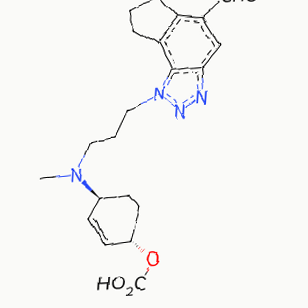 CN(CCCn1nnc2cc(C=O)c3c(c21)CCC3)[C@@H]1C=C[C@@H](OC(=O)O)CC1